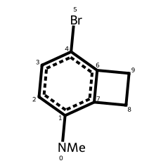 CNc1ccc(Br)c2c1CC2